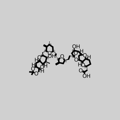 C=C1C[C@H](CC[C@]23C[C@@H](O)C(O2)[C@H]2CC(O3)[C@H]3O[C@@H](CC(=O)O)CC[C@@H]3O2)O[C@H]1CC[C@H]1C[C@@H](C)C(=C)[C@@H](C[C@@H]2O[C@H]3C[C@H]4OC(C)(C)OC[C@H]4O[C@H]3[C@H](C)[C@H]2O)O1